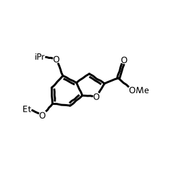 CCOc1cc(OC(C)C)c2cc(C(=O)OC)oc2c1